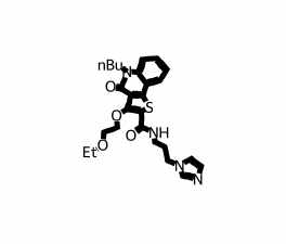 CCCCn1c(=O)c2c(OCCOCC)c(C(=O)NCCCn3ccnc3)sc2c2ccccc21